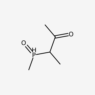 CC(=O)C(C)[PH](C)=O